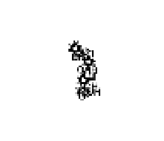 O=C(Nc1ccc(Cl)c(NC(=O)c2ccccc2Cl)c1)c1ccc(N2CCOCS2(O)O)cc1Cl